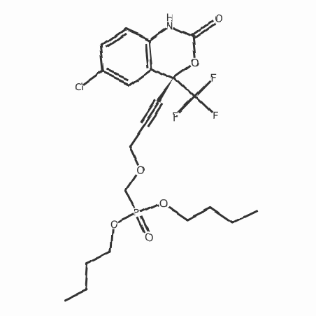 CCCCOP(=O)(COCC#C[C@]1(C(F)(F)F)OC(=O)Nc2ccc(Cl)cc21)OCCCC